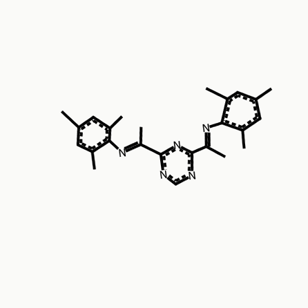 CC(=Nc1c(C)cc(C)cc1C)c1ncnc(C(C)=Nc2c(C)cc(C)cc2C)n1